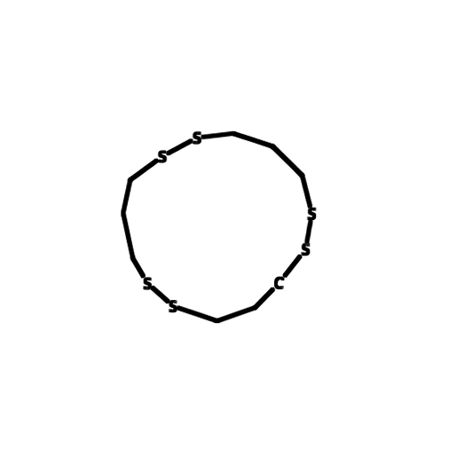 C1CSSCCCSSCCCSSC1